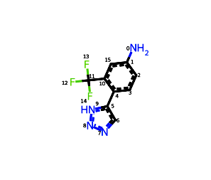 Nc1ccc(-c2cnn[nH]2)c(C(F)(F)F)c1